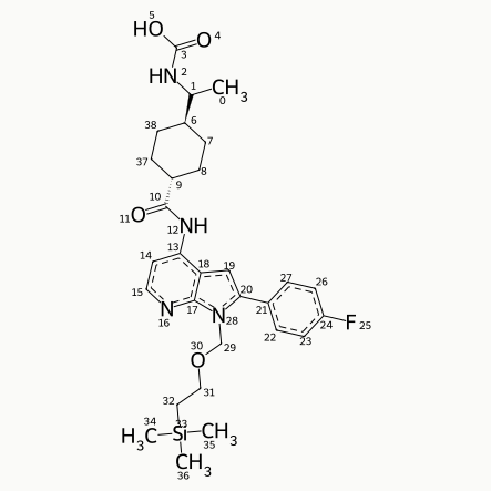 CC(NC(=O)O)[C@H]1CC[C@H](C(=O)Nc2ccnc3c2cc(-c2ccc(F)cc2)n3COCC[Si](C)(C)C)CC1